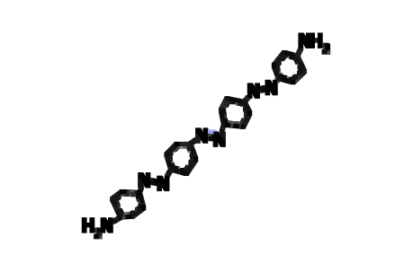 Nc1ccc(N=Nc2ccc(/N=N/c3ccc(N=Nc4ccc(N)cc4)cc3)cc2)cc1